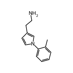 Cc1ccccc1-n1ccc(CCN)c1